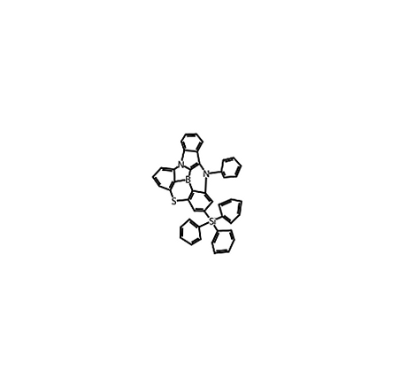 c1ccc(N2c3cc([Si](c4ccccc4)(c4ccccc4)c4ccccc4)cc4c3B3c5c(cccc5-n5c3c2c2ccccc25)S4)cc1